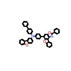 c1ccc(-c2ccc(N(c3ccc(-c4cc5oc(-c6ccccc6)nc5c5c4oc4ccccc45)cc3)c3ccc4oc5ccccc5c4c3)cc2)cc1